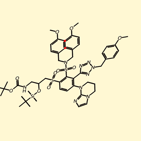 COc1ccc(CN(Cc2ccc(OC)cc2)S(=O)(=O)c2c(S(=O)(=O)CC(CNC(=O)OC(C)(C)C)O[Si](C)(C)C(C)(C)C)ccc(N3CCCn4ccnc43)c2-c2nnn(Cc3ccc(OC)cc3)n2)cc1